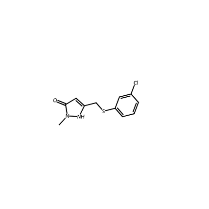 Cn1[nH]c(CSc2cccc(Cl)c2)cc1=O